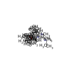 C=C(C/C=C(\C)CCC=C(C)C)CCC(C)(C)/C=C\CC/C(C)=C/CO[C@H](COP(=O)(O)O[C@H]1O[C@H](C(N)=O)[C@H](O)[C@H](OC(N)=O)[C@H]1O[C@@H]1O[C@H](C)[C@H](O[C@@H]2O[C@H](C)[C@H](O[C@@H]3O[C@H](C(=O)NC4=C(O)CCC4=O)[C@H](O)[C@H](O)[C@H]3O)[C@H](O)[C@H]2NC(C)=O)[C@H](O)[C@H]1NC(C)=O)C(=O)O